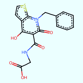 O=C(O)CNC(=O)c1c(O)c2ccsc2n(Cc2ccccc2)c1=O